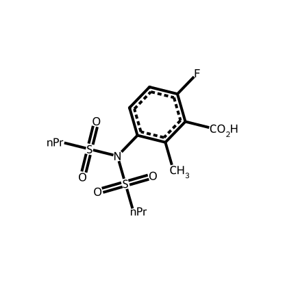 CCCS(=O)(=O)N(c1ccc(F)c(C(=O)O)c1C)S(=O)(=O)CCC